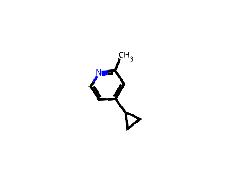 Cc1cc(C2CC2)c[c]n1